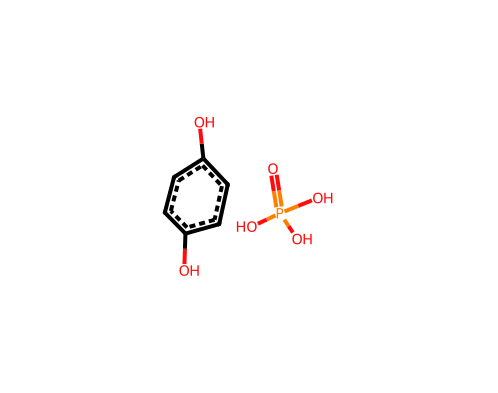 O=P(O)(O)O.Oc1ccc(O)cc1